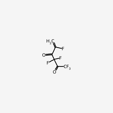 C=C(F)C(=O)C(F)(F)C(=O)C(F)(F)F